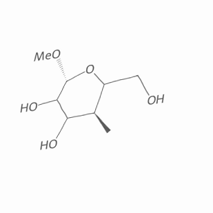 CO[C@@H]1OC(CO)[C@@H](C)C(O)C1O